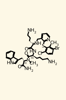 Cc1c(Br)ccc(Cl)c1Sc1ncccc1CN[C@@H](CCCN)C(=O)N[C@@H](CCCCN)C(=O)N(C)[C@@H](Cc1c[nH]c2ccccc12)C(N)=O